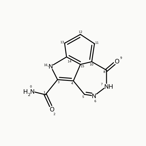 NC(=O)C1=C2C=NNC(=O)c3cccc(c32)[N]1